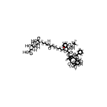 CO[C@H]1C(=O)[C@]2(C)[C@@H](OC)C[C@H]3OC[C@@]3(OC(C)=O)[C@H]2[C@H](OC(=O)c2ccccc2)[C@]2(O)C[C@H](OC(=O)[C@H](OC(=O)CCCSSCC(=O)NCCCC[C@H](NC(=O)N[C@@H](CCC(=O)O)C(=O)O)C(=O)O)[C@@H](NC(=O)OC(C)(C)C)c3ccccc3)C(C)=C1C2(C)C